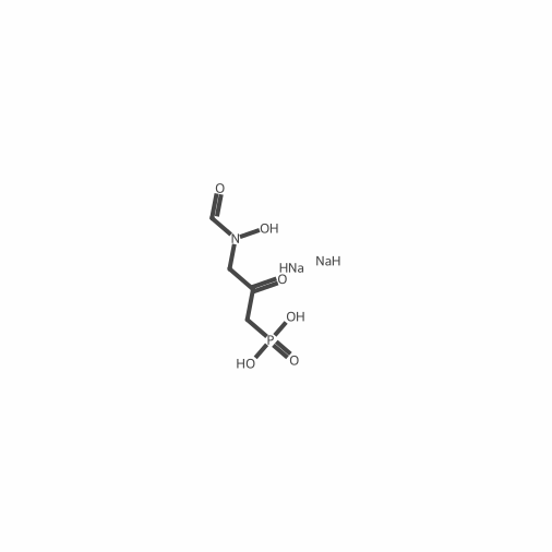 O=CN(O)CC(=O)CP(=O)(O)O.[NaH].[NaH]